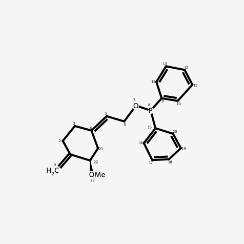 C=C1CC/C(=C/COP(c2ccccc2)c2ccccc2)C[C@H]1OC